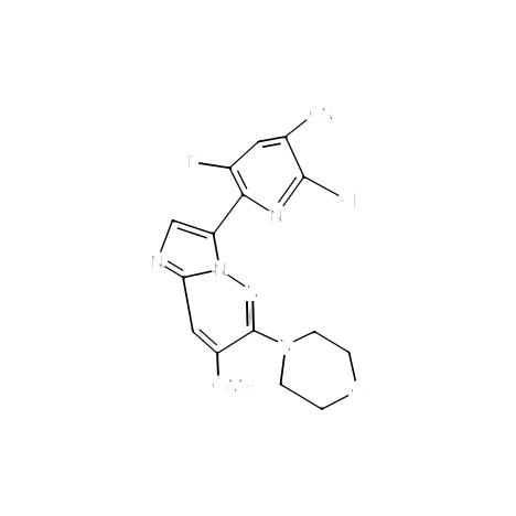 COc1cc2ncc(-c3nc(Cl)c(C#N)cc3F)n2nc1N1CCOCC1